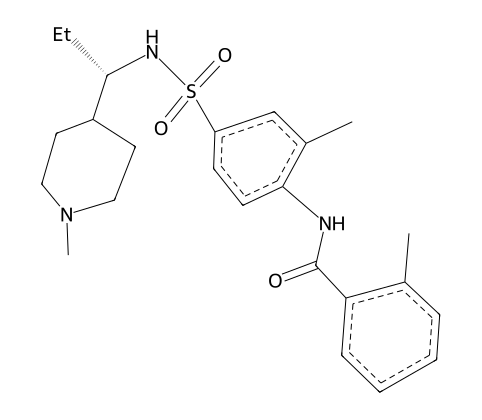 CC[C@H](NS(=O)(=O)c1ccc(NC(=O)c2ccccc2C)c(C)c1)C1CCN(C)CC1